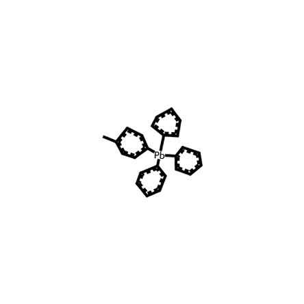 Cc1cc[c]([Pb]([c]2ccccc2)([c]2ccccc2)[c]2ccccc2)cc1